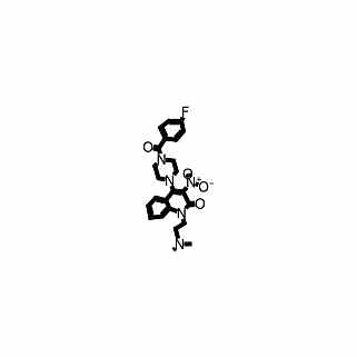 CN(C)CCn1c(=O)c([N+](=O)[O-])c(N2CCN(C(=O)c3ccc(F)cc3)CC2)c2ccccc21